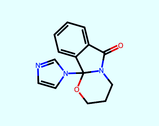 O=C1c2ccccc2C2(n3ccnc3)OCCCN12